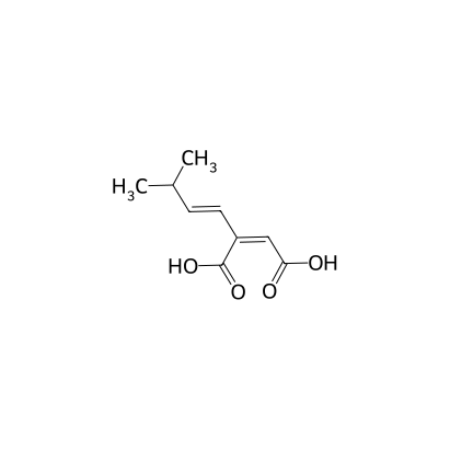 CC(C)C=C/C(=C/C(=O)O)C(=O)O